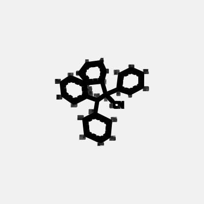 N#CC(c1ccccc1)(c1ccccc1)C(c1ccccc1)c1ccccc1